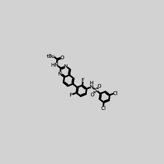 CC(C)(C)C(=O)Nc1ncc2cc(-c3c(F)ccc(NS(=O)(=O)c4cc(Cl)cc(Cl)c4)c3F)ccc2n1